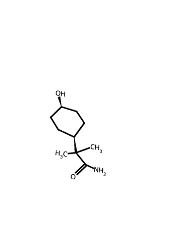 CC(C)(C(N)=O)[C@H]1CC[C@@H](O)CC1